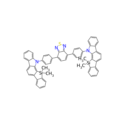 C[Si]1(C)c2ccccc2-c2ccc3c4ccccc4n(-c4ccc(-c5ccc(-c6ccc(-n7c8ccccc8c8ccc9c(c87)[Si](C)(C)c7ccccc7-9)cc6)c6nsnc56)cc4)c3c21